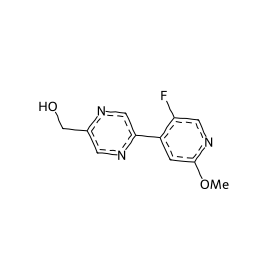 COc1cc(-c2cnc(CO)cn2)c(F)cn1